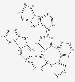 c1ccc2c(c1)-c1ccccc1-c1cc(-c3cccc4c3sc3ccccc34)cc(-c3cccc4c3sc3ccccc34)c1-c1ccccc1-2